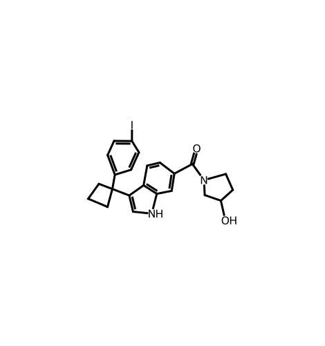 O=C(c1ccc2c(C3(c4ccc(I)cc4)CCC3)c[nH]c2c1)N1CCC(O)C1